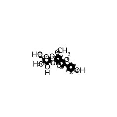 COc1cc2c(=O)c(-c3ccc(O)cc3)coc2cc1O[C@@H]1O[C@H](CO)[C@@H](O)[C@H](O)[C@H]1O